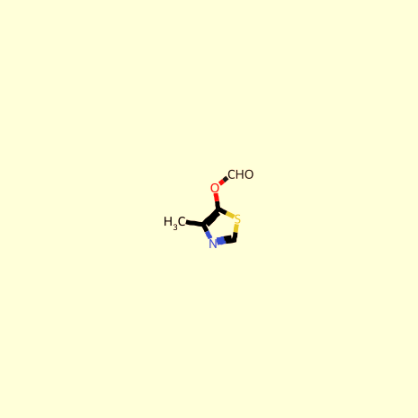 Cc1ncsc1OC=O